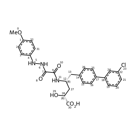 COc1ccc(NNC(=O)C(=O)N[C@H](Cc2ccc(-c3cccc(Cl)c3)cc2)C[C@@H](O)C(=O)O)cc1